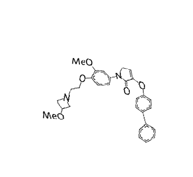 COc1cc(N2CC=C(Oc3ccc(-c4ccccc4)cc3)C2=O)ccc1OCCN1CC(OC)C1